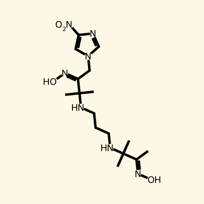 CC(=NO)C(C)(C)NCCCNC(C)(C)C(Cn1cnc([N+](=O)[O-])c1)=NO